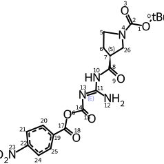 CC(C)(C)OC(=O)N1CC[C@H](C(=O)N/C(N)=N/C(=O)OC(=O)c2ccc([N+](=O)[O-])cc2)C1